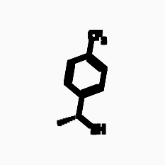 C[C@@H](S)c1ccc(C(F)(F)F)cc1